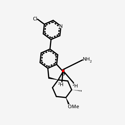 [2H]C1([2H])OC(N)=N[C@]12c1cc(-c3cncc(Cl)c3)ccc1C[C@@]21CC[C@H](OC)[C@@H](C)C1